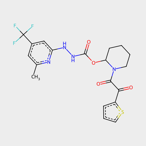 Cc1cc(C(F)(F)F)cc(NNC(=O)OC2CCCCN2C(=O)C(=O)c2cccs2)n1